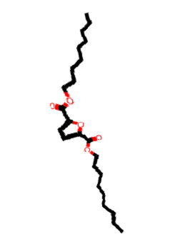 CCCCCCCCCOC(=O)c1ccc(C(=O)OCCCCCCCCC)o1